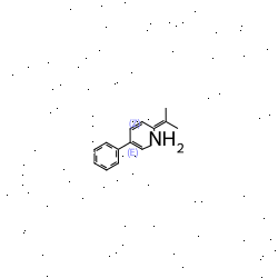 C/C=C(\C=C/C(N)=C(C)C)c1ccccc1